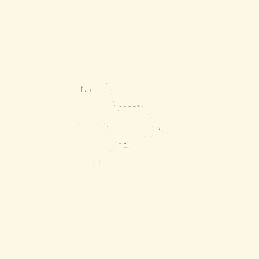 [Na+].[O-]c1c(Cl)c(Cl)c(Cl)c(Cl)c1Cl